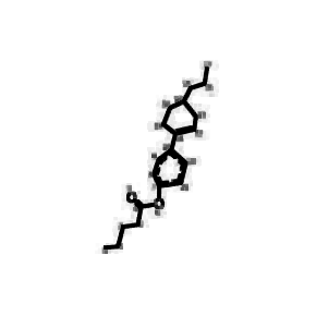 CCCCC(=O)Oc1ccc(C2=CCC(CCC)CC2)cc1